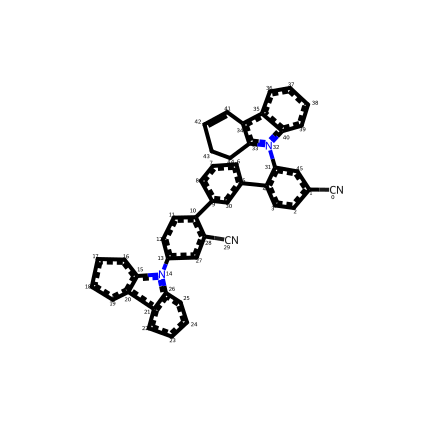 N#Cc1ccc(-c2cccc(-c3ccc(-n4c5ccccc5c5ccccc54)cc3C#N)c2)c(-n2c3c(c4ccccc42)C=CCC3)c1